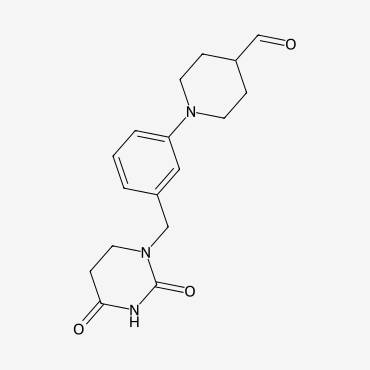 O=CC1CCN(c2cccc(CN3CCC(=O)NC3=O)c2)CC1